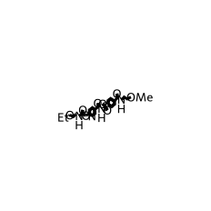 CCOCCNC(=O)Oc1ccc(C(=O)NS(=O)(=O)c2ccc(C(=O)NCCOC)cc2)cn1